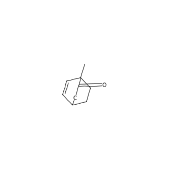 CC12C=CC(CC1)CC2=O